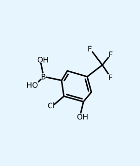 OB(O)c1cc(C(F)(F)F)cc(O)c1Cl